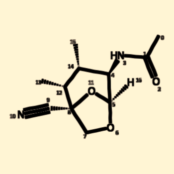 CC(=O)N[C@H]1[C@H]2OC[C@](C#N)(O2)[C@H](C)[C@@H]1C